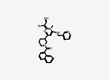 CN1C(NCc2cccnc2)=CC(C2CCCN(C(=O)c3cccc4ccccc34)C2)=N/C1=C(\Br)C=N